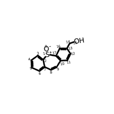 [O-][S+]1c2ccccc2C=Cc2ccc(CO)cc21